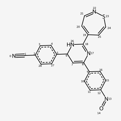 N#Cc1ccc(C2C=C(c3ccc(N=O)cc3)N=C(C3=CC=NSC=C3)N2)cc1